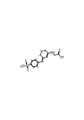 O=C(O)CNC1=CC(=Nc2ccc(S(=O)(=O)O)cc2)CCC1